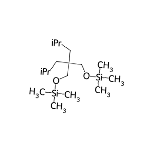 CC(C)CC(CO[Si](C)(C)C)(CO[Si](C)(C)C)CC(C)C